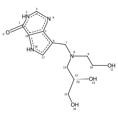 O=c1[nH]cnc2c(CN(CCO)C[C@H](O)CO)c[nH]c12